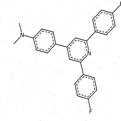 CN(C)c1ccc(-c2cc(-c3ccc(F)cc3)nc(-c3ccc(F)cc3)c2)cc1